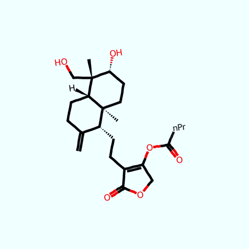 C=C1CC[C@@H]2[C@](C)(CO)[C@H](O)CC[C@@]2(C)[C@@H]1CCC1=C(OC(=O)CCC)COC1=O